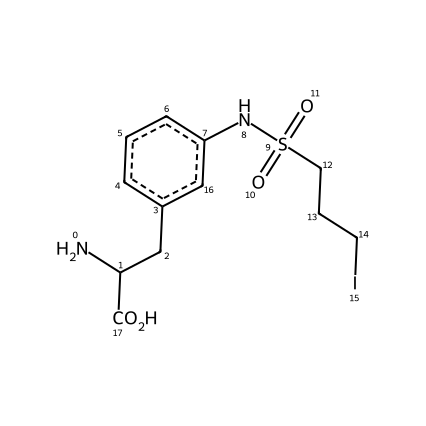 NC(Cc1cccc(NS(=O)(=O)CCCI)c1)C(=O)O